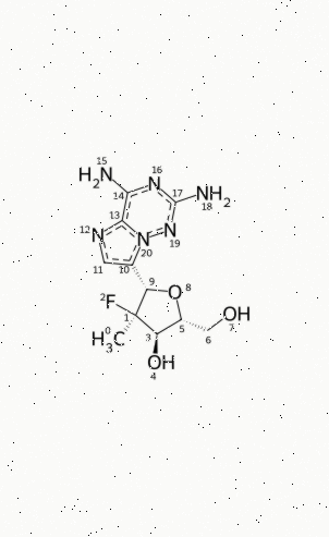 C[C@@]1(F)[C@H](O)[C@@H](CO)O[C@H]1c1cnc2c(N)nc(N)nn12